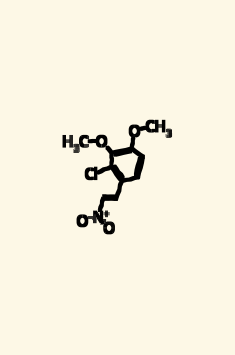 COc1ccc(C=C[N+](=O)[O-])c(Cl)c1OC